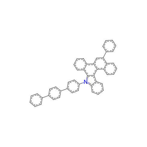 c1ccc(-c2ccc(-c3ccc(-n4c5ccccc5c5c6c7ccccc7c(-c7ccccc7)cc6c6ccccc6c54)cc3)cc2)cc1